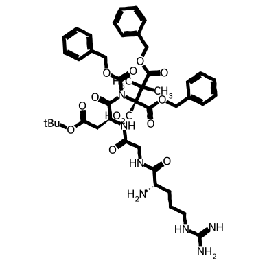 CC(C)(C)OC(=O)C[C@H](NC(=O)CNC(=O)[C@@H](N)CCCNC(=N)N)C(=O)N(C(=O)OCc1ccccc1)[C@@](C(=O)O)(C(=O)OCc1ccccc1)C(C)(C)C(=O)OCc1ccccc1